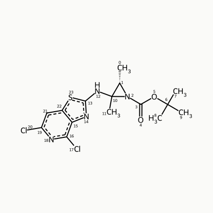 C[C@@H]1N(C(=O)OC(C)(C)C)C1(C)Nc1nc2c(Cl)nc(Cl)cc2s1